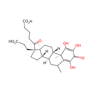 CC1C[C@@H]2[C@H](CC[C@@]3(C)[C@H]2CC[C@]3(CCC(=O)O)C(=O)CCCC(=O)O)[C@@]2(C)C(O)=C(O)C(=O)C(O)=C12